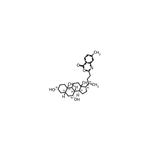 Cc1ccc2c(=O)oc(CC[C@@H](C)[C@H]3CC[C@H]4[C@H]5C(CC[C@]34C)[C@@]3(C)CC[C@@H](O)C[C@H]3C[C@H]5O)nc2c1